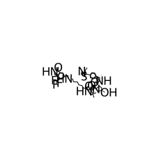 Cc1ncsc1-c1ccc([C@H](C)NC(=O)[C@@H]2C[C@@H](O)CN2C(=O)[C@@H](NC(=O)CCCCCCNCc2cc3c(c(C(F)(F)F)c2)CNC3=O)C(C)(C)C)cc1